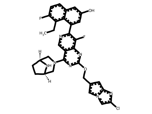 CCc1c(F)ccc2cc(O)cc(-c3ncc4c(N5C[C@H]6CC[C@@H](C5)N6)nc(OCc5cc6sc(Cl)cn6c5)nc4c3F)c12